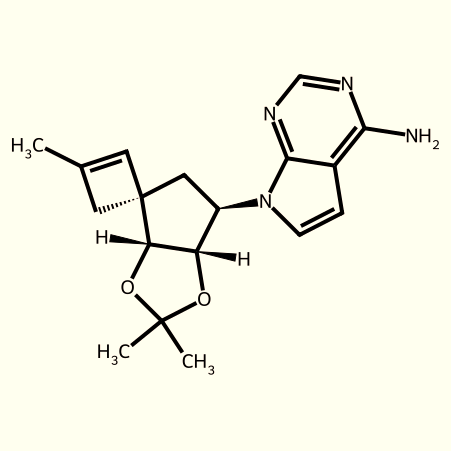 CC1=C[C@@]2(C1)C[C@@H](n1ccc3c(N)ncnc31)[C@@H]1OC(C)(C)O[C@@H]12